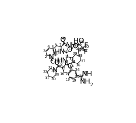 C[n+]1cccc(CC(NC(=O)C(NC(=O)C(Cc2ccc(C(=N)N)cc2)C(=O)N2CCCCC2)C2CCCCC2)C(N)=O)c1.O=C(O)C(F)(F)F